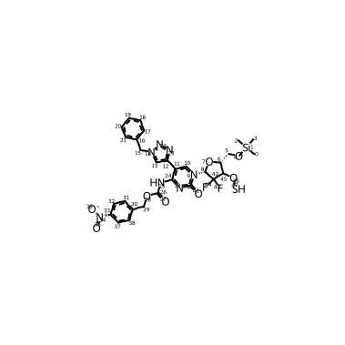 C[Si](C)(C)OC[C@H]1O[C@@H](n2cc(-c3cn(Cc4ccccc4)nn3)c(NC(=O)OCc3ccc([N+](=O)[O-])cc3)nc2=O)C(F)(F)C1OS